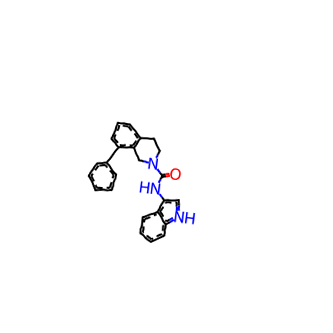 O=C(Nc1c[nH]c2ccccc12)N1CCc2cccc(-c3ccccc3)c2C1